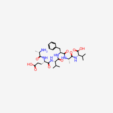 CC(C)[C@H](NC(=O)[C@H](C)NC(=O)[C@H](Cc1ccccc1)NC(=O)[C@@H](NC(=O)[C@H](CCC(=O)O)NC(=O)[C@H](C)N)C(C)C)C(=O)O